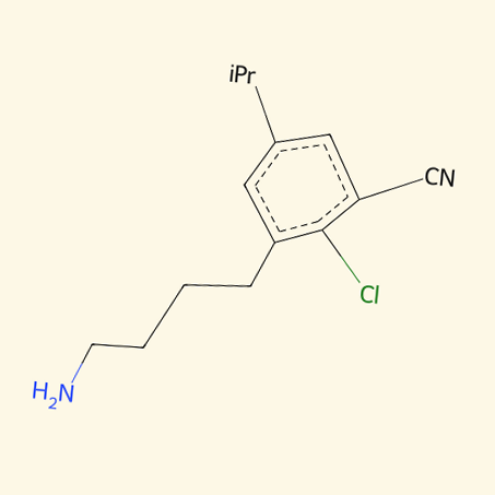 CC(C)c1cc(C#N)c(Cl)c(CCCCN)c1